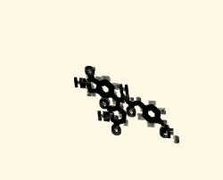 O=C1CCC(C(NC(=O)Cc2ccc(SC(F)(F)F)cc2)c2ccc3c(c2)CNC3=O)C(=O)N1